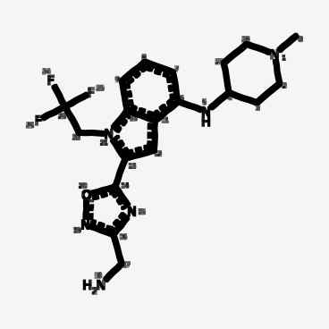 CN1CCC(Nc2cccc3c2cc(-c2nc(CN)no2)n3CC(F)(F)F)CC1